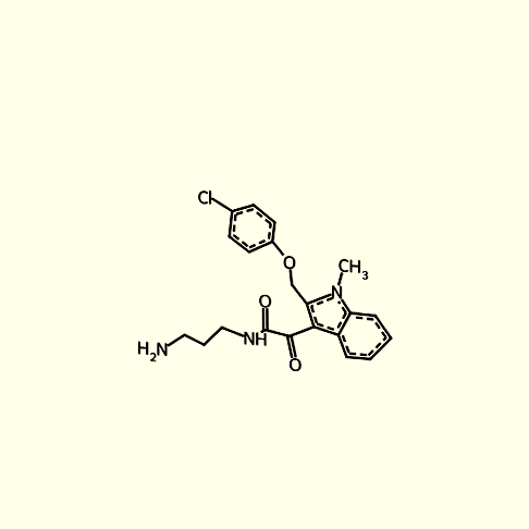 Cn1c(COc2ccc(Cl)cc2)c(C(=O)C(=O)NCCCN)c2ccccc21